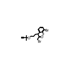 C#CC(C)(C)OCCCC(C(=O)CBr)c1cccc(Br)c1F